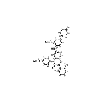 COc1ccc(N2C(=O)N(c3c(C)cccc3Cl)C(C)c3cnc(Nc4ccc(N5CCN(C)CC5)cc4OC)nc32)nc1